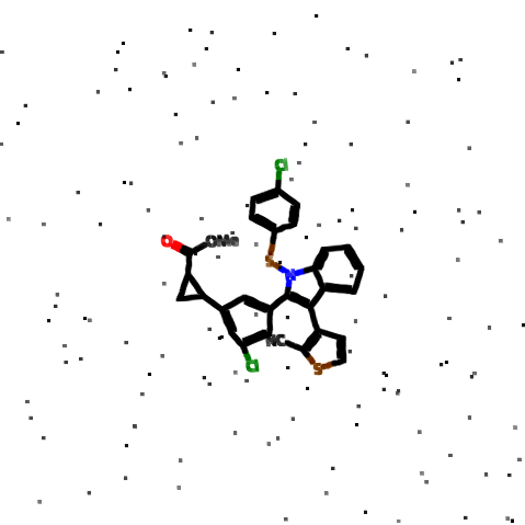 COC(=O)C1CC1c1cc(Cl)cc(-c2c(-c3ccsc3C#N)c3ccccc3n2Sc2ccc(Cl)cc2)c1